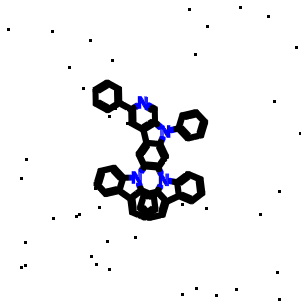 c1ccc(-c2cc3c4cc(-n5c6ccccc6c6ccccc65)c(-n5c6ccccc6c6ccccc65)cc4n(-c4ccccc4)c3cn2)cc1